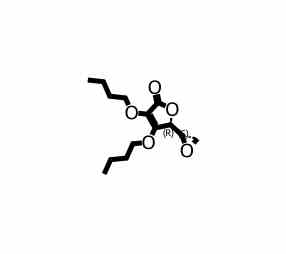 CCCCOC1=C(OCCCC)[C@@H]([C@@H]2CO2)OC1=O